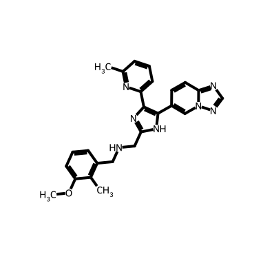 COc1cccc(CNCc2nc(-c3cccc(C)n3)c(-c3ccc4ncnn4c3)[nH]2)c1C